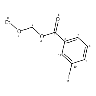 CCOCOC(=O)c1cccc(I)c1